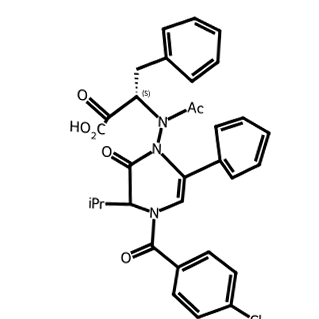 CC(=O)N([C@@H](Cc1ccccc1)C(=O)C(=O)O)N1C(=O)C(C(C)C)N(C(=O)c2ccc(Cl)cc2)C=C1c1ccccc1